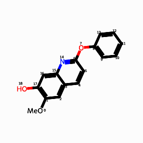 COc1cc2ccc(Oc3ccccc3)nc2cc1O